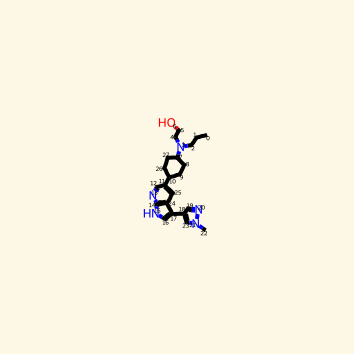 CCCN(CCO)C1CCC(c2cnc3[nH]cc(-c4cnn(C)c4)c3c2)CC1